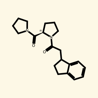 O=C([C@H]1CCCN1C(=O)CC1CCc2ccccc21)N1CCCC1